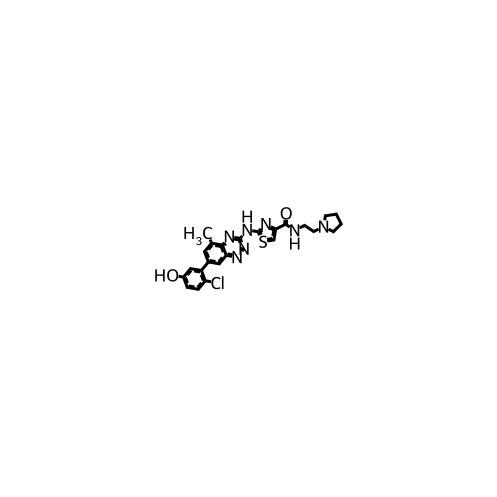 Cc1cc(-c2cc(O)ccc2Cl)cc2nnc(Nc3nc(C(=O)NCCN4CCCC4)cs3)nc12